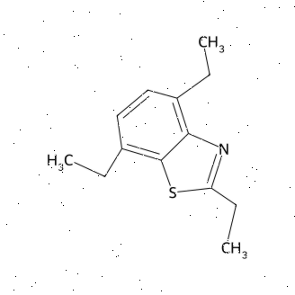 CCc1nc2c(CC)ccc(CC)c2s1